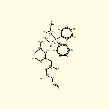 C=CC[C@H](C)C[C@H](C)C[C@H]1CCC[C@@H](C[C@H](CCO)O[Si](c2ccccc2)(c2ccccc2)C(C)(C)C)O1